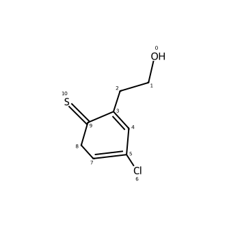 OCCC1=CC(Cl)=CCC1=S